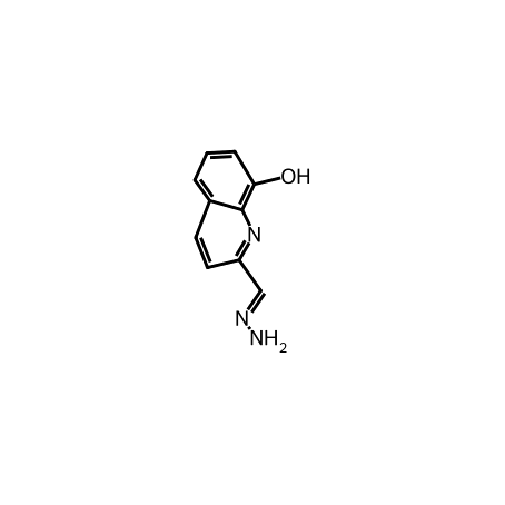 NN=Cc1ccc2cccc(O)c2n1